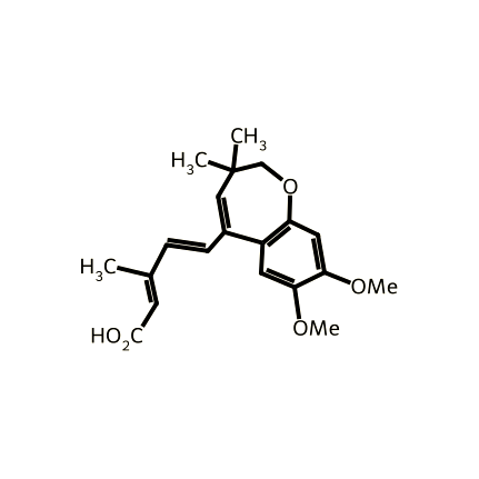 COc1cc2c(cc1OC)C(C=CC(C)=CC(=O)O)=CC(C)(C)CO2